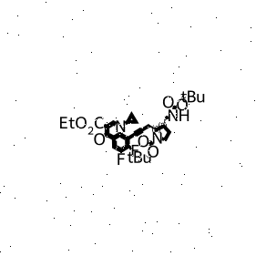 CCOC(=O)c1cn(C2CC2)c2c(C#CC[C@H]3[C@H](CNC(=O)OC(C)(C)C)CCN3C(=O)OC(C)(C)C)c(F)c(F)cc2c1=O